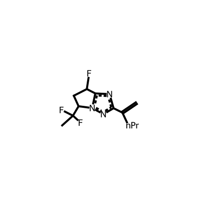 C=C(CCC)c1nc2n(n1)C(C(C)(F)F)CC2F